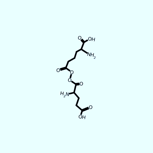 NC(CCCC(=O)OOC(=O)C(N)CCC(=O)O)C(=O)O